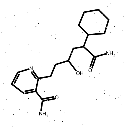 NC(=O)c1cccnc1C[CH]C(O)CC(C(N)=O)C1CCCCC1